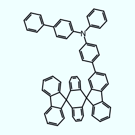 c1ccc(-c2ccc(N(c3ccccc3)c3ccc(-c4ccc5c(c4)C4(c6ccccc6-5)c5ccccc5C5(c6ccccc6-c6ccccc65)c5ccccc54)cc3)cc2)cc1